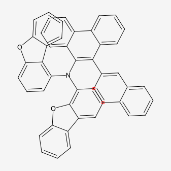 c1ccc2cc(-c3c(N(c4cccc5c4oc4ccccc45)c4cccc5oc6ccccc6c45)c4ccccc4c4ccccc34)ccc2c1